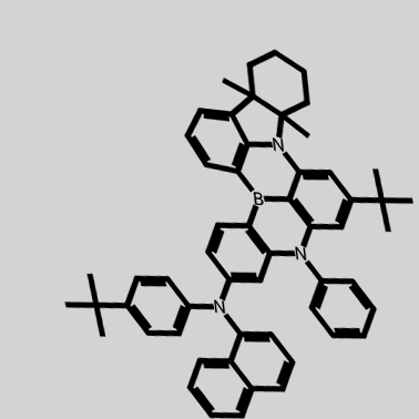 CC(C)(C)c1ccc(N(c2ccc3c(c2)N(c2ccccc2)c2cc(C(C)(C)C)cc4c2B3c2cccc3c2N4C2(C)CCCCC32C)c2cccc3ccccc23)cc1